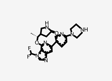 C[C@@H](Oc1nc(-c2ccc(N3CCNCC3)nc2)cc2ncn(C(F)F)c12)C1CNC(=O)C1